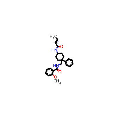 C/C=C/C(=O)NC1CCC(CNC(=O)c2ccccc2OC)(c2ccccc2)CC1